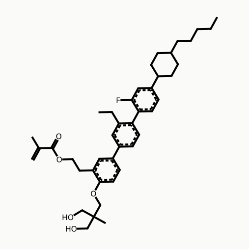 C=C(C)C(=O)OCCc1cc(-c2ccc(-c3ccc(C4CCC(CCCCC)CC4)cc3F)c(CC)c2)ccc1OCC(C)(CO)CO